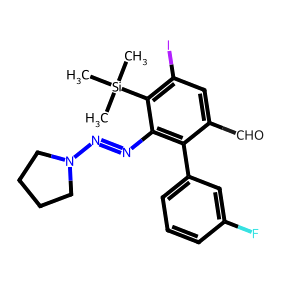 C[Si](C)(C)c1c(I)cc(C=O)c(-c2cccc(F)c2)c1/N=N/N1CCCC1